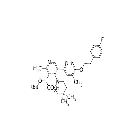 Cc1cc(-c2cnc(C)c([C@H](OC(C)(C)C)C(=O)O)c2N2CCC(C)(C)CC2)nnc1OCCc1ccc(F)cc1